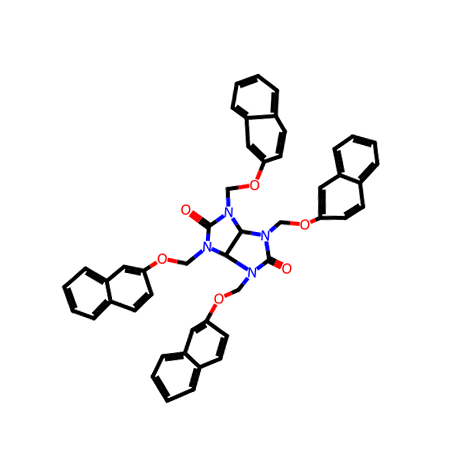 O=C1N(COc2ccc3ccccc3c2)C2C(N1COc1ccc3ccccc3c1)N(COc1ccc3ccccc3c1)C(=O)N2COc1ccc2ccccc2c1